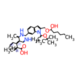 C=C(NCc1ccc2cc(COC(O)CCCCC)n(C(=C)OC(C)(C)C)c2c1)/C(C=N)=C(\C=C/C)C(=C\C)/C(=O)O